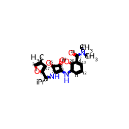 Cc1coc([C@H](Nc2c(Nc3cccc(C(=O)N(C)C)c3O)c(=O)c2=O)C(C)C)c1